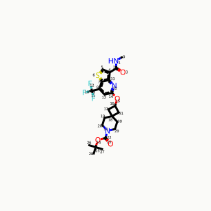 CNC(=O)c1csc2c(C(F)(F)F)cc(OC3CC4(CCN(C(=O)OC(C)(C)C)CC4)C3)nc12